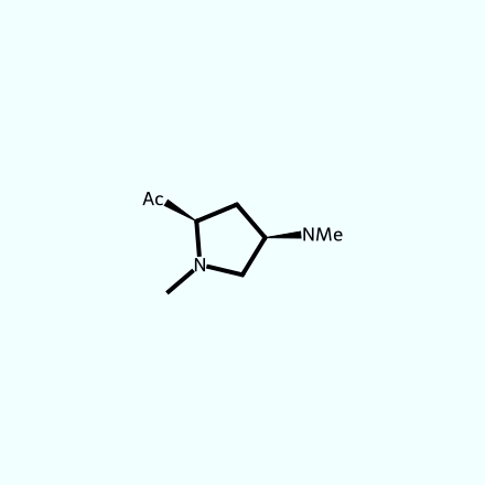 CN[C@@H]1C[C@H](C(C)=O)N(C)C1